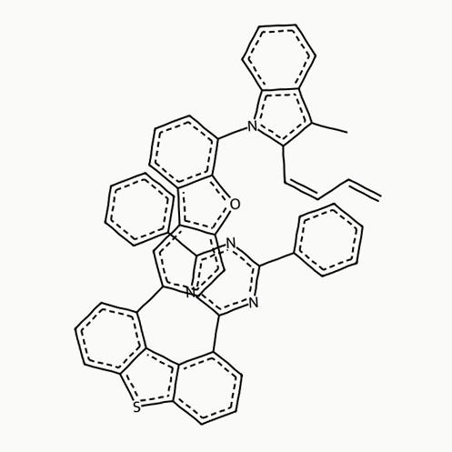 C=C/C=C\c1c(C)c2ccccc2n1-c1cccc2c1oc1ccc(-c3cccc4sc5cccc(-c6nc(-c7ccccc7)nc(-c7ccccc7)n6)c5c34)cc12